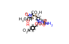 C[C@@H](O)[C@H]1C(=O)N2C(C(=O)O)=C(S[C@@H]3C[C@H](CNS(N)(=O)=O)N(C(=O)OCc4ccc([N+](=O)[O-])cc4)C3)S[C@H]12